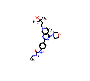 CCNC(=O)Nc1ccc(-c2nc3c(c(N4CCOC[C@@H]4C)n2)CCN(CCC(C)(C)O)C3)cc1